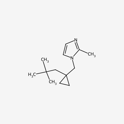 Cc1nccn1CC1(CC(C)(C)C)CC1